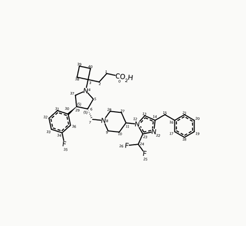 O=C(O)CCC1(N2C[C@H](CN3CCC(n4cc(Cc5ccccc5)nc4C(F)F)CC3)[C@@H](c3cccc(F)c3)C2)CCC1